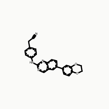 N#CCc1ccc(Nc2ncc3cc(-c4ccc5c(c4)OCCO5)ccc3n2)cc1